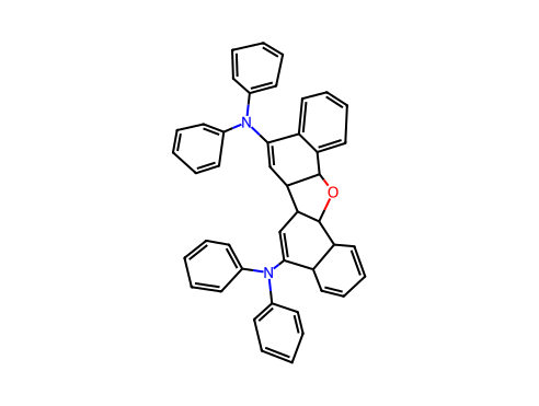 C1=CC2C(N(c3ccccc3)c3ccccc3)=CC3C4C=C(N(c5ccccc5)c5ccccc5)c5ccccc5C4OC3C2C=C1